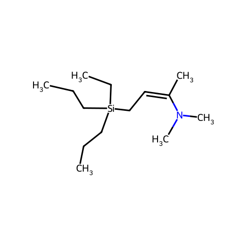 CCC[Si](CC)(CC=C(C)N(C)C)CCC